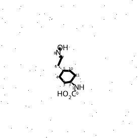 O=C(O)N[C@H]1CC[C@H](CC=NO)CC1